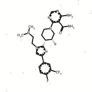 CN(C)CCn1cc(-c2ccc(F)c(C(F)(F)F)c2)nc1[C@@H]1CCN(c2ncnc(N)c2C(N)=O)C[C@@H]1F